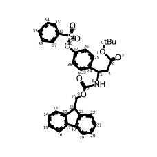 CC(C)(C)OC(=O)CC(NC(=O)OCC1c2ccccc2-c2ccccc21)c1ccc(OS(=O)(=O)c2ccccc2)cc1